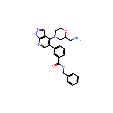 NCC1CN(c2c(-c3cccc(C(=O)NCc4ccccc4)c3)cnc3[nH]ncc23)CCO1